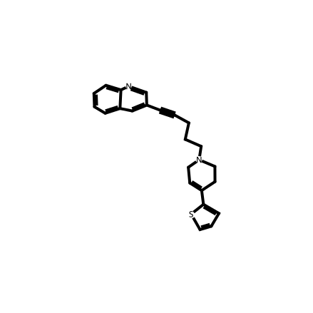 C(#Cc1cnc2ccccc2c1)CCCN1CC=C(c2cccs2)CC1